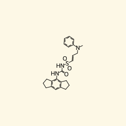 CN(C/C=C/S(=O)(=O)NC(=O)Nc1c2c(cc3c1CCC3)CCC2)c1ccccc1